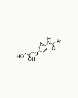 CC(C)C(=O)Nc1ccc(OC[C@@H](O)CO)cn1